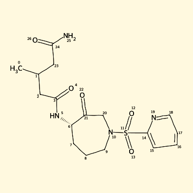 CC([CH]C(=O)N[C@H]1CCCN(S(=O)(=O)c2ccccn2)CC1=O)CC(N)=O